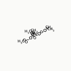 COC(=O)/C=C/c1ccc(NC(=O)[C@@H]2Cc3ccc(OCc4ccc(N(C)C)cc4)cc3CN2C(=O)OC(C)(C)C)cc1